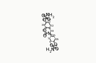 NS(=O)(=O)Oc1ccc(N2Cc3ccc(OS(N)(=O)=O)cc3OC2=O)cc1